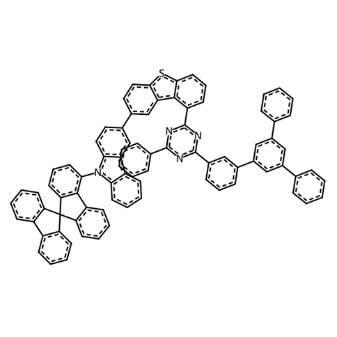 c1ccc(-c2cc(-c3ccccc3)cc(-c3cccc(-c4nc(-c5ccccc5)nc(-c5cccc6sc7ccc(-c8ccc9c(c8)c8ccccc8n9-c8cccc9c8-c8ccccc8C98c9ccccc9-c9ccccc98)cc7c56)n4)c3)c2)cc1